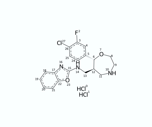 Cl.Cl.Fc1cc([C@@H]2OCCNC[C@H]2CNc2nc3ccccc3o2)ccc1Cl